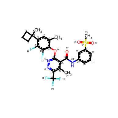 Cc1cc(C2(C)CCC2)c(F)c(F)c1Oc1nnc(C(F)(F)F)c(C)c1C(=O)Nc1cccc(S(C)(=O)=O)c1